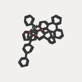 c1ccc(-c2ccc(-c3ccc(N(c4ccccc4)c4ccc5c(c4)C4(c6ccccc6-c6ccccc6-5)c5ccccc5-c5cc6c(cc54)sc4ccccc46)cc3)cc2)cc1